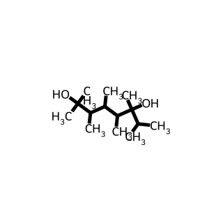 CC(C(C)C(C)(C)O)C(C)C(C)(O)C(C)C